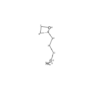 C#CCC[CH]C1CCO1